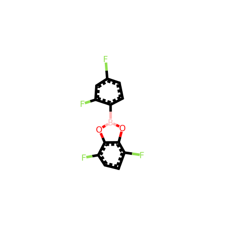 Fc1ccc(B2Oc3c(F)ccc(F)c3O2)c(F)c1